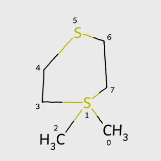 CS1(C)CCSCC1